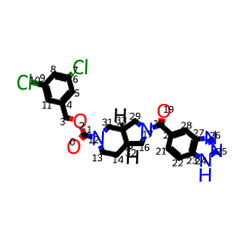 O=C(OCc1cc(Cl)cc(Cl)c1)N1CC[C@H]2CN(C(=O)c3ccc4[nH]nnc4c3)C[C@H]2C1